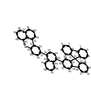 c1ccc2c(c1)-c1ccccc1C21c2ccccc2-c2ccc(-c3ccc(-c4ccc5c(c4)-c4cccc6cccc(c46)S5)c4ccccc34)cc21